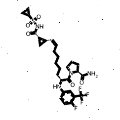 NC(=O)[C@@H]1CCCN1C(=O)[C@H](CCCCC/C=C\[C@@H]1C[C@@H]1C(=O)NS(=O)(=O)C1CC1)Nc1ccc(F)c(C(F)(F)F)c1